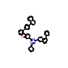 c1ccc(-c2nc(-c3ccc4c(-c5ccccc5)cccc4c3)nc(-c3ccc4c(c3)oc3cccc(-c5ccc(-c6cccc7ccccc67)cc5)c34)n2)cc1